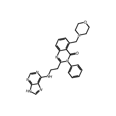 O=c1c2c(CN3CCOCC3)cccc2nc(CCNc2ncnc3[nH]cnc23)n1-c1ccccc1